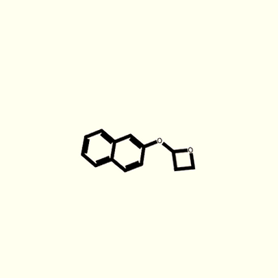 c1ccc2cc(OC3CCO3)ccc2c1